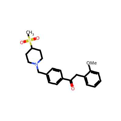 COc1ccccc1CC(=O)c1ccc(CN2CCC(S(C)(=O)=O)CC2)cc1